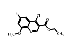 CCOC(=O)c1cnc2c(OC)cc(F)cc2c1Cl